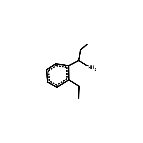 CCc1ccccc1C(N)CC